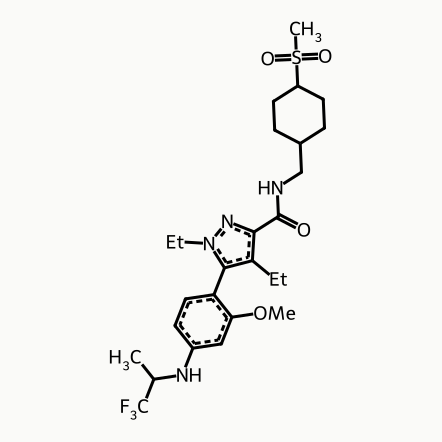 CCc1c(C(=O)NCC2CCC(S(C)(=O)=O)CC2)nn(CC)c1-c1ccc(NC(C)C(F)(F)F)cc1OC